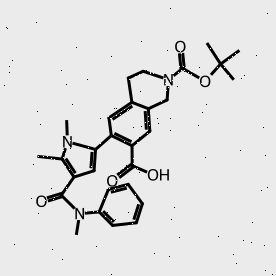 Cc1c(C(=O)N(C)c2ccccc2)cc(-c2cc3c(cc2C(=O)O)CN(C(=O)OC(C)(C)C)CC3)n1C